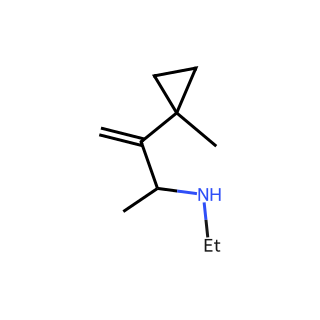 C=C(C(C)NCC)C1(C)CC1